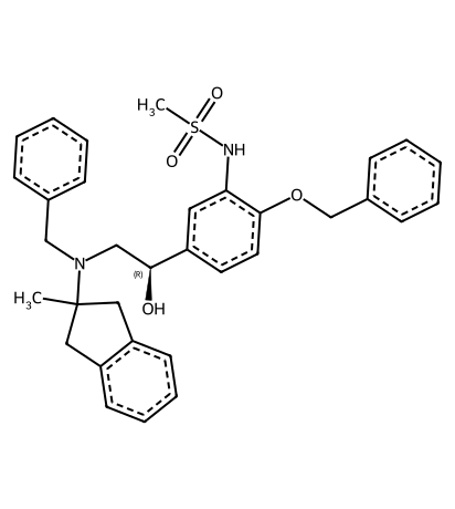 CC1(N(Cc2ccccc2)C[C@H](O)c2ccc(OCc3ccccc3)c(NS(C)(=O)=O)c2)Cc2ccccc2C1